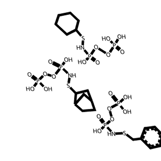 O=P(O)(O)OOP(=O)(O)NSC1CC2CCC1C2.O=P(O)(O)OOP(=O)(O)NSC1CCCCC1.O=P(O)(O)OOP(=O)(O)NSCc1ccccc1